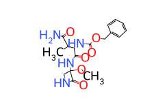 COC1(NC(=O)C(NC(=O)OCc2ccccc2)C(C)C(N)=O)CNC1=O